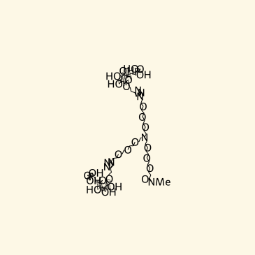 CNC(=O)CCOCCOCCOCCN(CCOCCOCCOCCn1cc(CCO[C@H]2O[C@H](CCP(=O)(O)O)[C@@H](O)[C@H](O)[C@@H]2O)nn1)CCOCCOCCOCCn1cc(CCO[C@H]2O[C@H](CCP(=O)(O)O)[C@@H](O)[C@H](O)[C@@H]2O)nn1